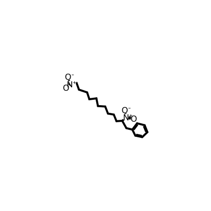 O=[N+]([O-])CCCCCCCCCCC(Cc1ccccc1)[N+](=O)[O-]